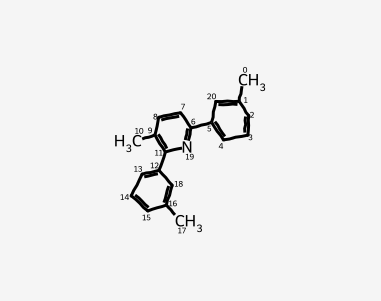 Cc1cccc(-c2ccc(C)c(-c3cccc(C)c3)n2)c1